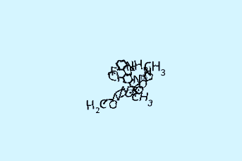 C=CC(=O)N1CCN(c2c(S(C)(=O)=O)c(=O)n(C[C@@H]3CCCN3C)c3c(F)c(-c4c(N)cccc4F)c(Cl)cc23)CC1